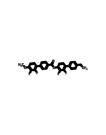 CCc1ccc(-c2ccc(OC(=O)c3ccc(-c4ccc(OC)c(F)c4F)cc3)c(F)c2F)cc1